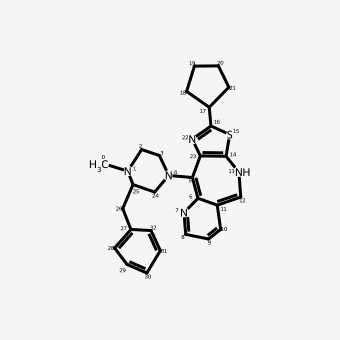 CN1CCN(C2=c3ncccc3=CNc3sc(C4CCCC4)nc32)CC1Cc1ccccc1